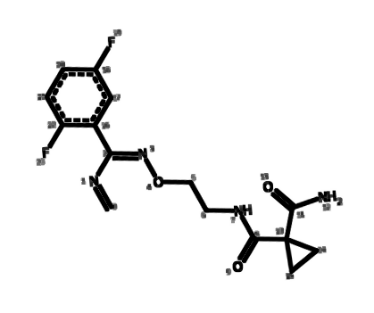 C=N/C(=N\OCCNC(=O)C1(C(N)=O)CC1)c1cc(F)ccc1F